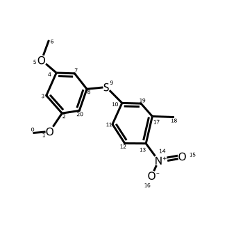 COc1cc(OC)cc(Sc2ccc([N+](=O)[O-])c(C)c2)c1